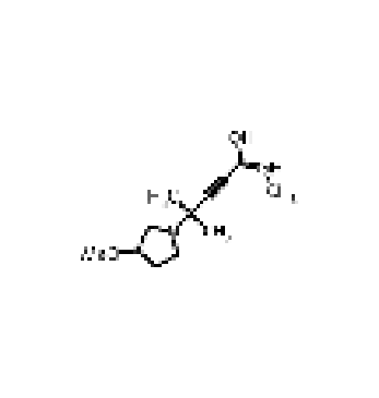 COC1CCN(C(C)(C)C#CC(O)=[SH]C)C1